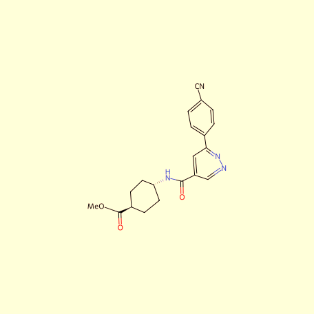 COC(=O)[C@H]1CC[C@H](NC(=O)c2cnnc(-c3ccc(C#N)cc3)c2)CC1